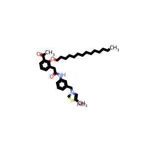 Br.CCCCCCCCCCCCCCOc1c(CC(=O)Nc2cccc(CN3C=C(C)SC3)c2)cccc1C(C)=O